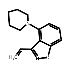 C=Cc1noc2cccc(N3CCCCC3)c12